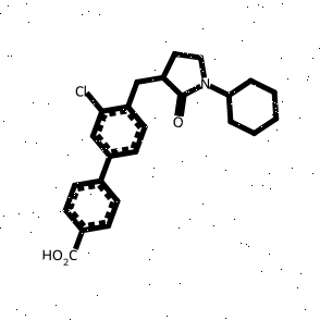 O=C(O)c1ccc(-c2ccc(CC3CCN(C4CCCCC4)C3=O)c(Cl)c2)cc1